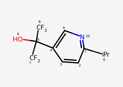 CC(C)c1ccc(C(O)(C(F)(F)F)C(F)(F)F)cn1